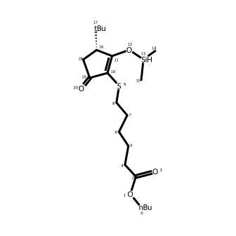 CCCCOC(=O)CCCCCSC1=C(O[SiH](C)C)[C@@H](C(C)(C)C)CC1=O